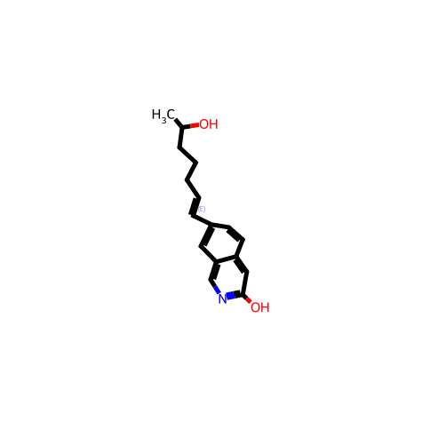 CC(O)CCC/C=C/c1ccc2cc(O)ncc2c1